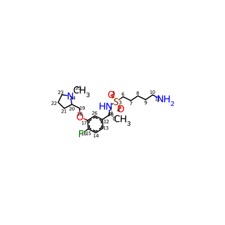 C[C@@H](NS(=O)(=O)CCCCCN)c1ccc(F)c(OCC2CCCN2C)c1